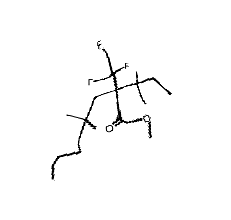 CCCC(C)(C)CC(C(=O)OC)(C(F)(F)F)C(C)(C)CC